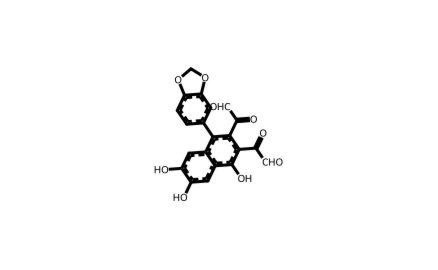 O=CC(=O)c1c(C(=O)C=O)c(-c2ccc3c(c2)OCO3)c2cc(O)c(O)cc2c1O